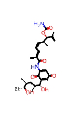 C=C(C)[C@H](OC(N)=O)[C@@H](C)/C=C\C=C(/C)C(=O)NC1=CC(=O)C=C([C@H](O)[C@@H](C)C[C@H](C)[C@H](O)CC)C1=O